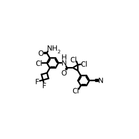 N#Cc1cc(Cl)cc(C2C(C(=O)Nc3cc(C(N)=O)c(Cl)c(C4CC(F)(F)C4)c3)C2(Cl)Cl)c1